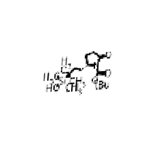 CC(C)(C)OC(=O)N1C(=O)CC[C@H]1CCC(C)(C)[Si](C)(C)O